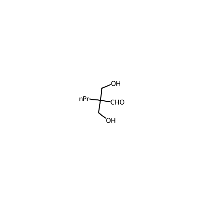 CCCC(C=O)(CO)CO